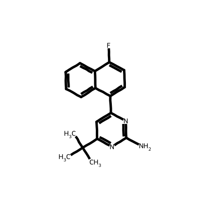 CC(C)(C)c1cc(-c2ccc(F)c3ccccc23)nc(N)n1